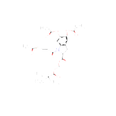 CC(=O)Oc1cc2c(cc1OC(C)=O)N(C(=O)CCSC(C)=O)C(C(=O)OCOC(=O)C(C)(C)C)C2